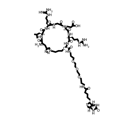 CC(C)C[C@@H]1NC(=O)[C@@H](N)Cc2cn(nn2)CCCC[C@@H](C(=O)NCCCOCCOCCOCCCNC(=O)CCCC[C@H]2SC[C@H]3NC(=O)N[C@H]32)NC(=O)[C@H](CCCNC(=N)N)NC(=O)[C@H](CCC(=O)O)NC(=O)CNC(=O)[C@H](CCCNC(=N)N)NC1=O